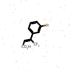 O=C(O)/C=C(/c1cccc(Br)c1)C(F)(F)F